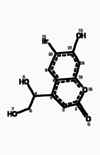 O=c1cc(C(O)CO)c2cc(Br)c(O)cc2o1